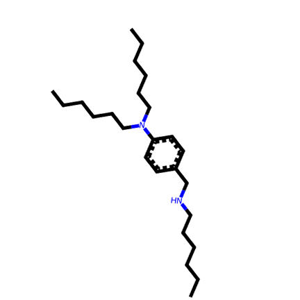 CCCCCCNCc1ccc(N(CCCCCC)CCCCCC)cc1